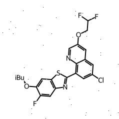 C[CH][C@H](C)Oc1cc2sc(-c3cc(Cl)cc4cc(OCC(F)F)cnc34)nc2cc1F